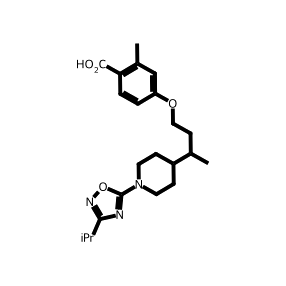 Cc1cc(OCCC(C)C2CCN(c3nc(C(C)C)no3)CC2)ccc1C(=O)O